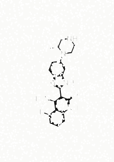 C[C@H]1CNCCN1c1ccc2nc(-c3c(N)c4c(F)cccc4[nH]c3=O)[nH]c2c1